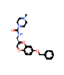 CN1CCN(C(=O)NC[C@@H]2COc3ccc(OCc4ccccc4)cc3O2)CC1